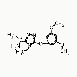 CCn1c(Oc2cc(OC)cc(OC)c2)nnc1[C@@H](C)N